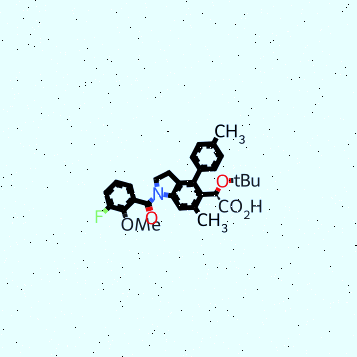 COc1c(F)cccc1C(=O)N1CCc2c1cc(C)c([C@H](OC(C)(C)C)C(=O)O)c2-c1ccc(C)cc1